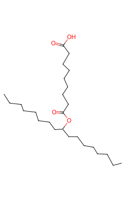 CCCCCCCCC(CCCCCCCC)OC(=O)CCCCCCCC(=O)O